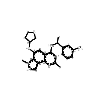 Cc1nc(NC(C)c2cccc(C(F)(F)F)c2)c2cc(OC3CCOC3)c3c(cnn3C)c2n1